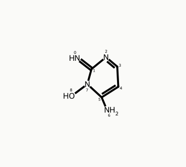 N=c1nccc(N)n1O